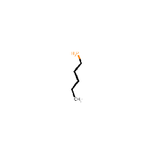 [CH2]CCCCP